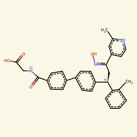 Cc1cc(C(C[C@H](c2ccc(-c3ccc(C(=O)NCC(=O)O)cc3)cc2)c2ccccc2C)=NO)ccn1